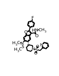 CNC(=O)c1c(-c2ccc(F)cc2)oc2cc(N(C)SC)c([C@H]3CCCN(S(=O)(=O)Cc4ccccn4)C3)cc12